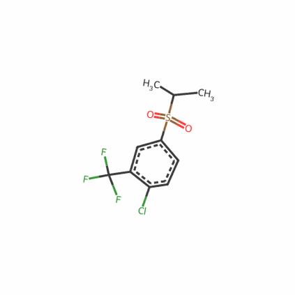 CC(C)S(=O)(=O)c1ccc(Cl)c(C(F)(F)F)c1